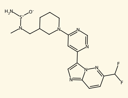 CN(CC1CCCN(c2cc(-c3cnc4ccc(C(F)F)nn34)ncn2)C1)[S+](N)[O-]